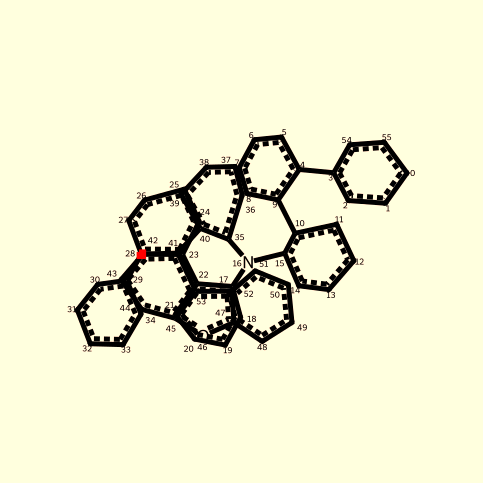 c1ccc(-c2ccccc2-c2ccccc2N(c2ccccc2-c2ccccc2-c2ccccc2)c2ccccc2-c2cccc3oc4ccccc4c23)cc1